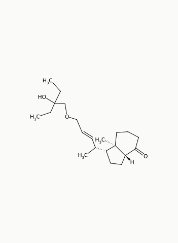 CCC(O)(CC)COC/C=C/C(C)[C@H]1CC[C@H]2C(=O)CCC[C@]12C